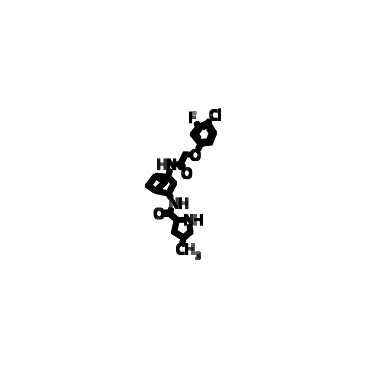 CC1CNC(C(=O)NC2CC(NC(=O)COc3ccc(Cl)c(F)c3)C3CC2C3)C1